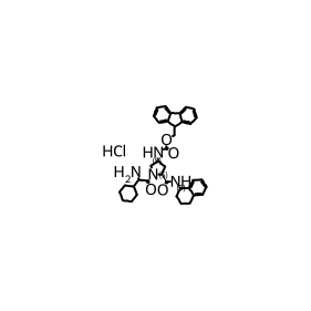 Cl.NC(C(=O)N1C[C@@H](NC(=O)OCC2c3ccccc3-c3ccccc32)C[C@H]1C(=O)N[C@@H]1CCCc2ccccc21)C1CCCCC1